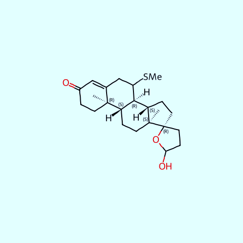 CSC1CC2=CC(=O)CC[C@]2(C)[C@H]2CC[C@@]3(C)[C@@H](CC[C@@]34CCC(O)O4)[C@H]12